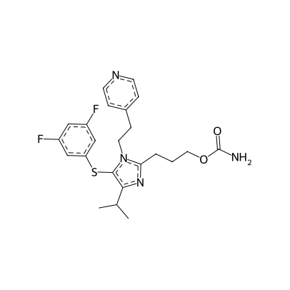 CC(C)c1nc(CCCOC(N)=O)n(CCc2ccncc2)c1Sc1cc(F)cc(F)c1